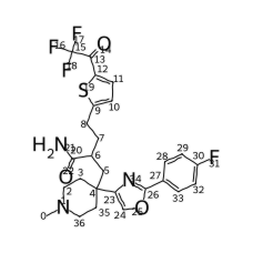 CN1CCC(CC(CCc2ccc(C(=O)C(F)(F)F)s2)C(N)=O)(c2coc(-c3ccc(F)cc3)n2)CC1